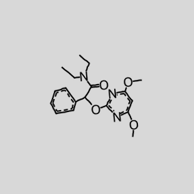 CCN(CC)C(=O)C(Oc1nc(OC)cc(OC)n1)c1ccccc1